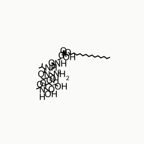 CCCCCCCCCCCCCCOP(=O)(O)OCCNC(=O)CC[C@H](C(N)=O)N(CC(C)O[C@H]1[C@H](O)[C@@H](CO)O[C@H](O)[C@@H]1NC(C)=O)C(=O)[C@@H](N)C(C)C